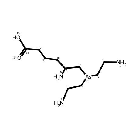 NCC[As](CCN)CC(N)CCCC(=O)O